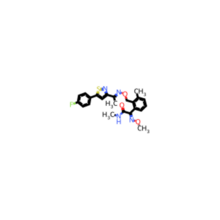 CNC(=O)/C(=N/OC)c1cccc(C)c1CO/N=C(\C)c1cc(-c2ccc(F)cc2)sn1